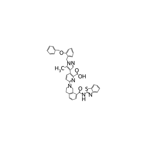 Cc1c(-c2ccc(N3CCc4cccc(C(=O)Nc5nc6ccccc6s5)c4C3)nc2C(=O)O)cnn1Cc1ccccc1OCc1ccccc1